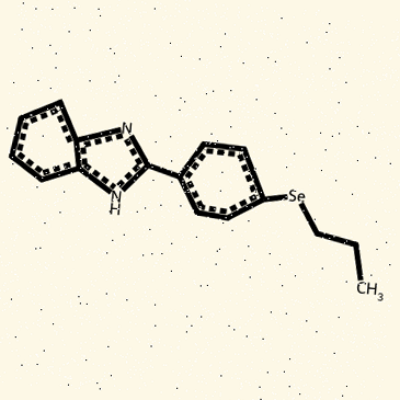 CCC[Se]c1ccc(-c2nc3ccccc3[nH]2)cc1